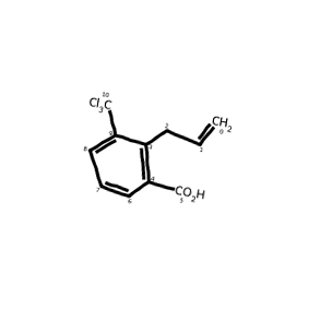 C=CCc1c(C(=O)O)cccc1C(Cl)(Cl)Cl